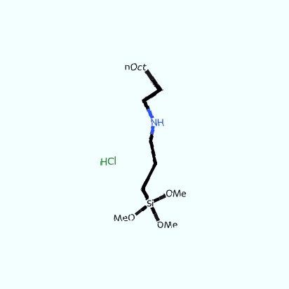 CCCCCCCCCCNCCC[Si](OC)(OC)OC.Cl